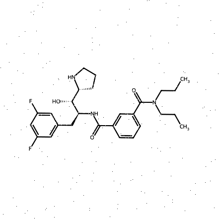 CCCN(CCC)C(=O)c1cccc(C(=O)N[C@@H](Cc2cc(F)cc(F)c2)[C@H](O)[C@H]2CCCN2)c1